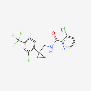 O=C(NCC1(c2ccc(C(F)(F)F)cc2F)CC1)c1ncccc1Cl